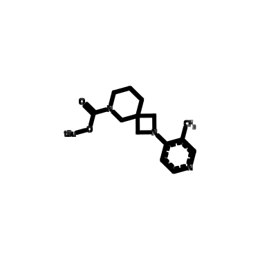 CC(C)(C)OC(=O)N1CCCC2(C1)CN(c1ccncc1C(F)(F)F)C2